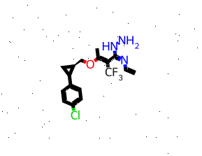 C=C/N=C(NN)\C(=C(/C)OC[C@@H]1CC1c1ccc(Cl)cc1)C(F)(F)F